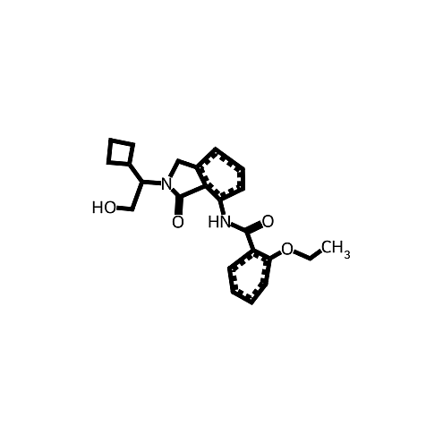 CCOc1ccccc1C(=O)Nc1cccc2c1C(=O)N(C(CO)C1CCC1)C2